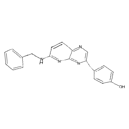 Oc1ccc(-c2cnc3ccc(NCc4ccccc4)nc3n2)cc1